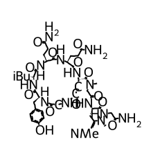 C=N/C(=C\NC)C[C@H](NC(=O)CN(C)C(=O)[C@@H]1CCC(=O)NCC(=O)N[C@@H](Cc2ccc(O)cc2)C(=O)N[C@@H]([C@@H](C)CC)C(=O)N[C@@H](CCC(N)=O)C(=O)N[C@@H](CCC(N)=O)C(=O)N1)C(=O)NCC(N)=O